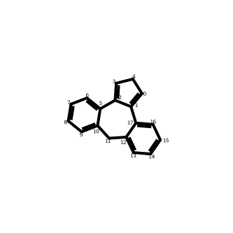 C1=C2C(=CC1)c1ccccc1Cc1ccccc12